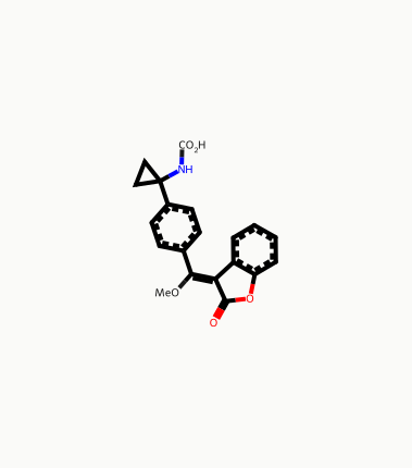 COC(=C1C(=O)Oc2ccccc21)c1ccc(C2(NC(=O)O)CC2)cc1